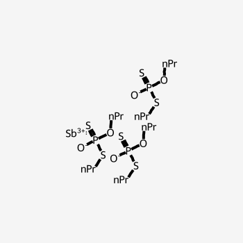 CCCOP([O-])(=S)SCCC.CCCOP([O-])(=S)SCCC.CCCOP([O-])(=S)SCCC.[Sb+3]